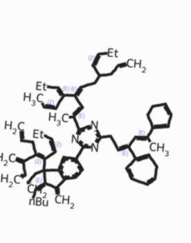 C=CC/C(C(=C)C=C)=C(\C=C/CC)C1(CC=C)/C(=C/CCCC)C(=C)c2ccc(-c3nc(C/C=C(\C=C(/C)C4=CC=CCC4)C4=CCC=CC=C4)nc(/C(C)=C/C(=C\CC(/C=C\CC)CC=C)C(/C=C\C)=C/CC)n3)cc21